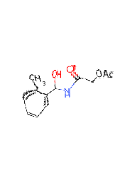 CC(=O)OCC(=O)NC(O)c1ccccc1C